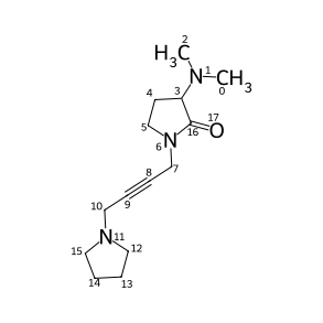 CN(C)C1CCN(CC#CCN2CCCC2)C1=O